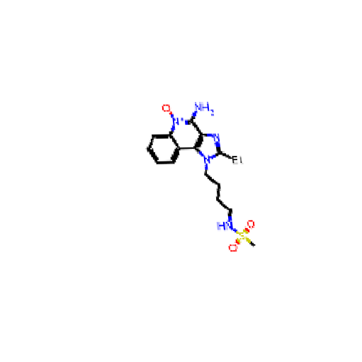 CCc1nc2c(N)[n+]([O-])c3ccccc3c2n1CCCCNS(C)(=O)=O